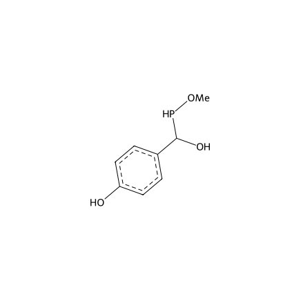 COPC(O)c1ccc(O)cc1